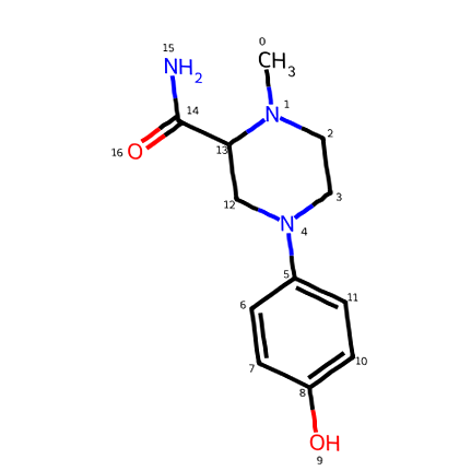 CN1CCN(c2ccc(O)cc2)CC1C(N)=O